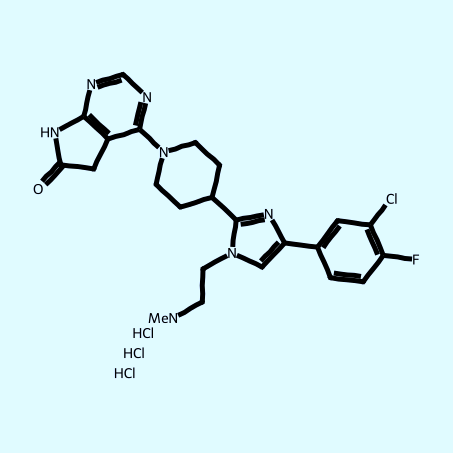 CNCCn1cc(-c2ccc(F)c(Cl)c2)nc1C1CCN(c2ncnc3c2CC(=O)N3)CC1.Cl.Cl.Cl